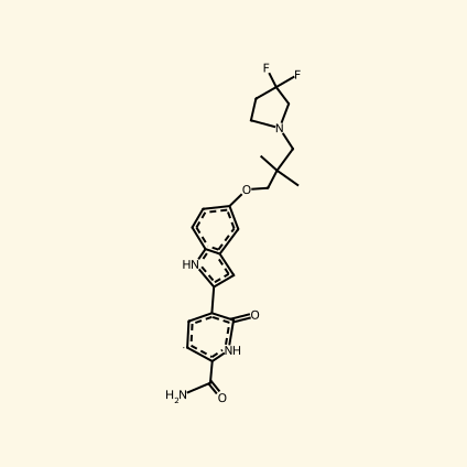 CC(C)(COc1ccc2[nH]c(-c3c[c]c(C(N)=O)[nH]c3=O)cc2c1)CN1CCC(F)(F)C1